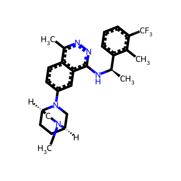 Cc1c([C@@H](C)Nc2nnc(C)c3ccc(N4C[C@H]5CC[C@@H]4CN5C)cc23)cccc1C(F)(F)F